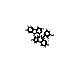 Cc1cccc([C](c2ccccc2)=[Hf]([c]2cccc3c2Cc2ccccc2-3)[CH]2C=CC=C2)c1C